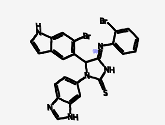 S=C1N/C(=N\c2ccccc2Br)C(c2cc3cc[nH]c3cc2Br)N1c1ccc2nc[nH]c2c1